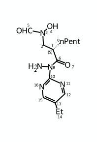 CCCCC[C@@H](CN(O)C=O)C(=O)N(N)c1ncc(CC)cn1